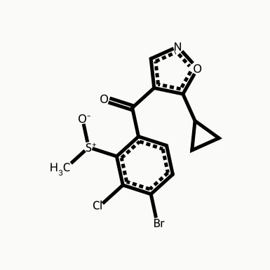 C[S+]([O-])c1c(C(=O)c2cnoc2C2CC2)ccc(Br)c1Cl